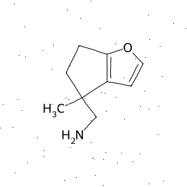 CC1(CN)CCc2occc21